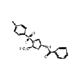 Cc1ccc(S(=O)(=O)N2CC(NC(=O)c3ccccc3)C[C@H]2C(=O)O)cc1